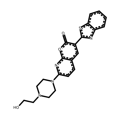 O=c1oc2nc(N3CCN(CCO)CC3)ccc2cc1-c1nc2ccccc2s1